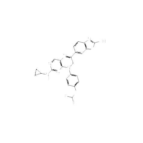 Cc1nc2ccc(C3=Nc4cnc(NC5CC5)nc4N(c4ccc(OC(F)F)cc4)C3)cc2s1